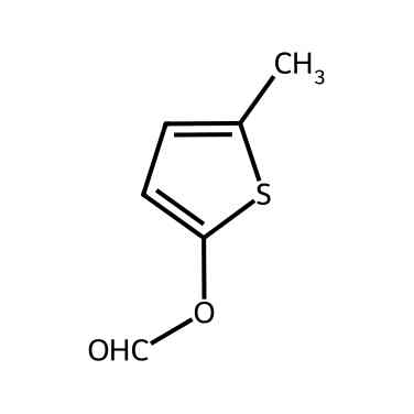 Cc1ccc(OC=O)s1